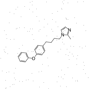 Cc1nccn1CCCCc1ccc(Oc2ccccc2)cc1